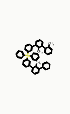 Cc1ccccc1-c1cccc(-c2cccc(S(c3ccccc3)(c3ccccc3)c3cccc(-c4cccc(C5=CCCC=C5)c4C)c3)c2)c1C